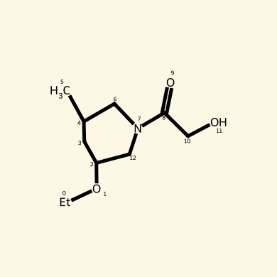 CCOC1CC(C)CN(C(=O)CO)C1